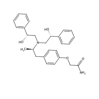 C[C@H](Cc1ccc(OCC(N)=O)cc1)N(C[C@H](O)c1ccccc1)C[C@H](O)c1ccccc1